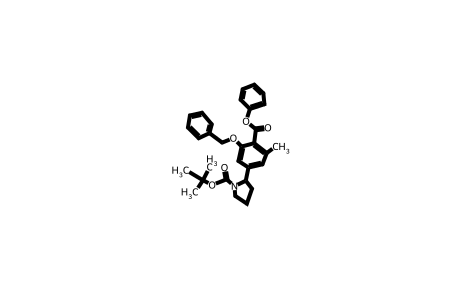 Cc1cc(C2CCCN2C(=O)OC(C)(C)C)cc(OCc2ccccc2)c1C(=O)Oc1ccccc1